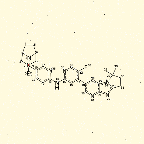 CCN1CC2CCC(C1)N2Cc1ccc(Nc2cc(-c3cnc4nc5n(c4c3)C(C)(C)CC5)c(F)cn2)nc1